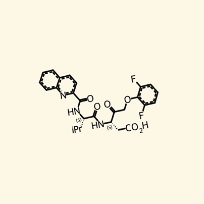 CC(C)[C@H](NC(=O)c1ccc2ccccc2n1)C(=O)N[C@@H](CC(=O)O)C(=O)COc1c(F)cccc1F